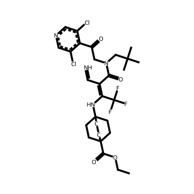 CCOC(=O)C12CCC(N/C(=C(\C=N)C(=O)N(CC(=O)c3c(Cl)cncc3Cl)CC(C)(C)C)C(F)(F)F)(CC1)CC2